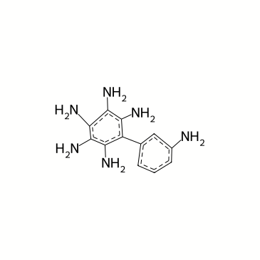 Nc1cccc(-c2c(N)c(N)c(N)c(N)c2N)c1